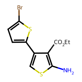 CCOC(=O)c1c(-c2ccc(Br)s2)csc1N